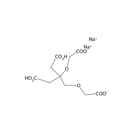 O=C([O-])COCC(CC(=O)O)(CC(=O)O)OCC(=O)[O-].[Na+].[Na+]